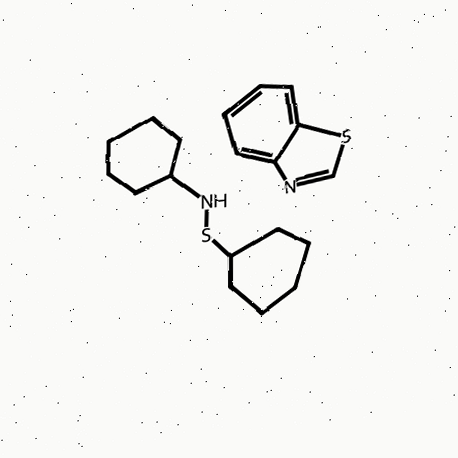 C1CCC(NSC2CCCCC2)CC1.c1ccc2scnc2c1